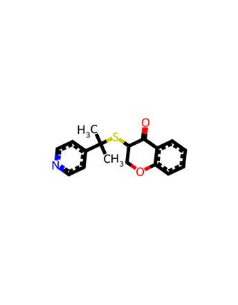 CC(C)(SC1COc2ccccc2C1=O)c1ccncc1